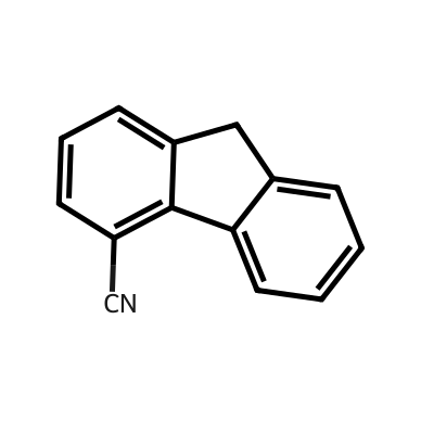 N#Cc1cccc2c1-c1ccccc1C2